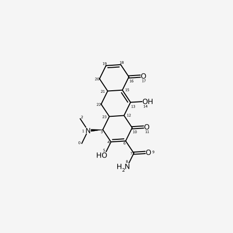 CN(C)[C@@H]1C(O)=C(C(N)=O)C(=O)C2C(O)=C3C(=O)C=CCC3CC21